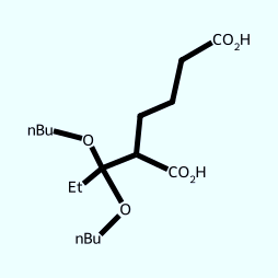 CCCCOC(CC)(OCCCC)C(CCCC(=O)O)C(=O)O